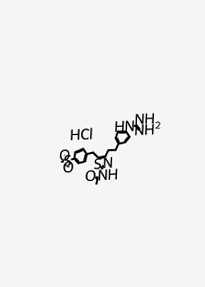 CC(=O)Nc1nc(CCc2ccc(NC(=N)N)cc2)c(Cc2ccc(S(C)(=O)=O)cc2)s1.Cl